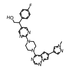 Cn1cc(-c2cc3c(N4CCN(c5ncc(C(CO)c6ccc(F)cc6)cn5)CC4)ncnn3c2)cn1